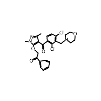 Cc1nn(C)c(OCC(=O)c2ccccc2)c1C(=O)c1ccc(Cl)c(CN2CCOCC2)c1Cl